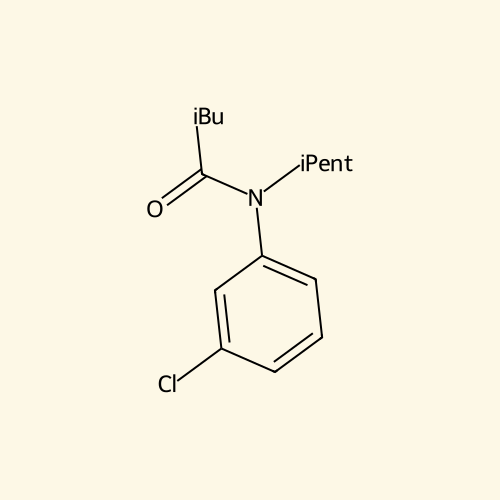 CCCC(C)N(C(=O)C(C)CC)c1cccc(Cl)c1